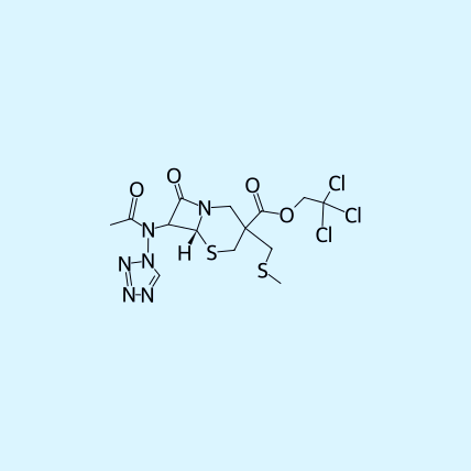 CSCC1(C(=O)OCC(Cl)(Cl)Cl)CS[C@@H]2C(N(C(C)=O)n3cnnn3)C(=O)N2C1